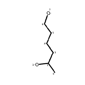 CC([O])CCCC[O]